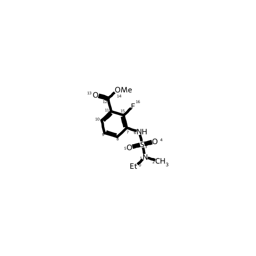 CCN(C)S(=O)(=O)Nc1cccc(C(=O)OC)c1F